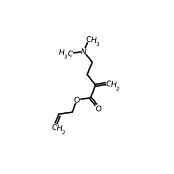 C=CCOC(=O)C(=C)CCN(C)C